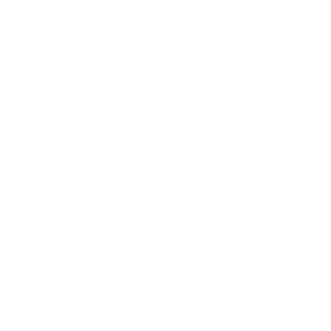 CCCCCCCCCCCCCCCCOC/C=C/c1ccccc1